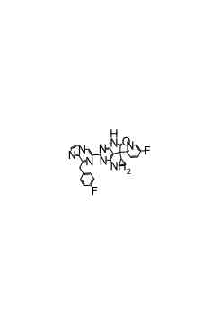 Nc1nc(-c2cn3ccnc3c(Cc3ccc(F)cc3)n2)nc2c1C(c1ccc(F)cn1)(C1CC1)C(=O)N2